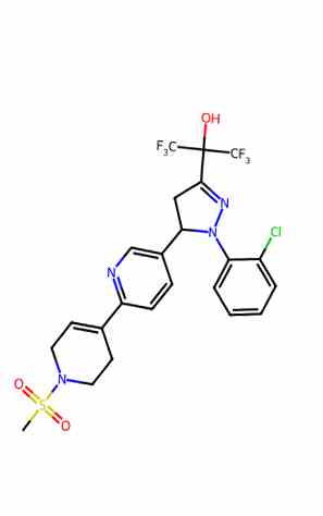 CS(=O)(=O)N1CC=C(c2ccc(C3CC(C(O)(C(F)(F)F)C(F)(F)F)=NN3c3ccccc3Cl)cn2)CC1